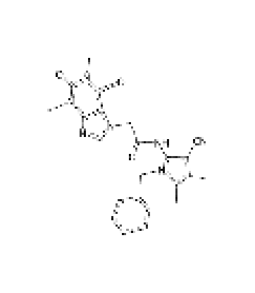 Cc1c(C#N)c(NC(=O)Cn2cnc3c2c(=O)n(C)c(=O)n3C)n(Cc2ccccc2)c1C